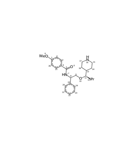 COc1ccc(C(=O)NC(CO[C@H](C(C)C)C2CCNCC2)c2ccccc2)cc1